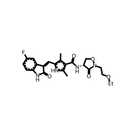 CCOCCN1OC[C@@H](NC(=O)c2c(C)[nH]c(/C=C3\C(=O)Nc4ccc(F)cc43)c2C)C1=O